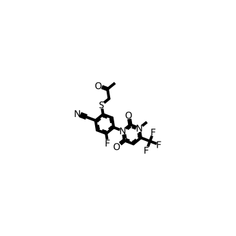 CC(=O)CSc1cc(-n2c(=O)cc(C(F)(F)F)n(C)c2=O)c(F)cc1C#N